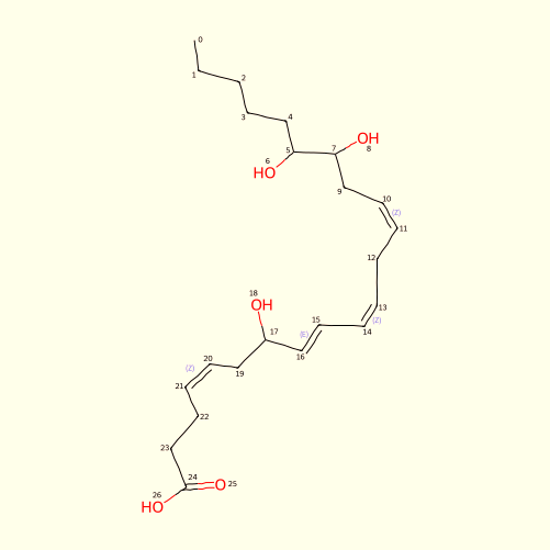 CCCCCC(O)C(O)C/C=C\C/C=C\C=C\C(O)C/C=C\CCC(=O)O